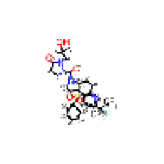 CC(C)(O)CN1C(=O)CCN1C(=O)N1CCC2(S(=O)(=O)c3ccccc3)c3ccc(C(F)(C(F)(F)F)C(F)(F)F)nc3CCC12